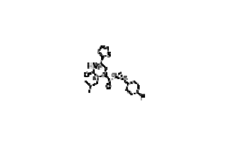 CC(C)C[C@H]1C(=O)N[C@@H](c2cccs2)CN1C(=O)[C@@H]1C[C@H]1c1ccc(F)cc1